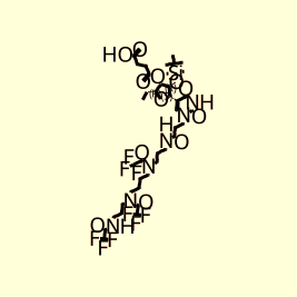 CC[C@H]1O[C@@H](c2cn(CCC(=O)NCCCN(CCCCN(CCCNC(=O)C(F)(F)F)C(=O)C(F)(F)F)C(=O)C(F)(F)F)c(=O)[nH]c2=O)[C@@H](O[Si](C)(C)C(C)(C)C)C1OC(=O)CCC(=O)O